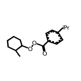 CC1CCCC[C]1OOC(=O)c1ccc(C(C)C)cc1